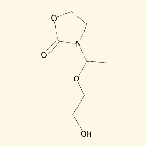 CC(OCCO)N1CCOC1=O